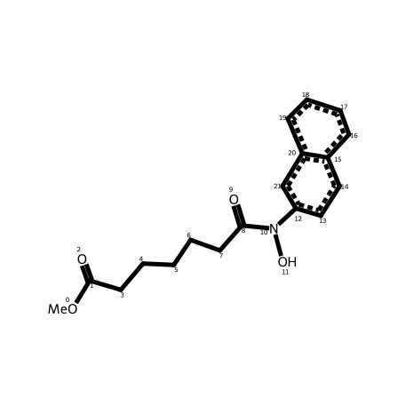 COC(=O)CCCCCC(=O)N(O)c1ccc2ccccc2c1